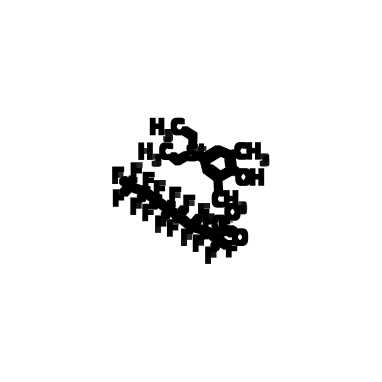 CC[S+](CC)c1cc(C)c(O)c(C)c1.O=S(=O)([O-])C(F)(F)C(F)(F)C(F)(F)C(F)(F)C(F)(F)C(F)(F)C(F)(F)C(F)(F)F